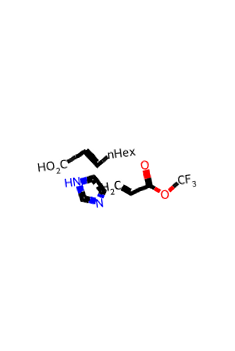 C=CC(=O)OC(F)(F)F.CCCCCCC=CC(=O)O.c1c[nH]cn1